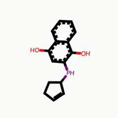 Oc1cc(PC2C=CCC2)c(O)c2ccccc12